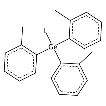 Cc1cccc[c]1[Ge]([I])([c]1ccccc1C)[c]1ccccc1C